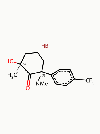 Br.CN[C@@]1(c2ccc(C(F)(F)F)cc2)CCC[C@](C)(O)C1=O